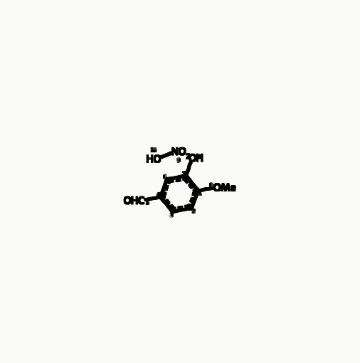 COc1ccc(C=O)cc1O.O=[N+]([O-])O